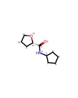 O=C(NC1CCCC1)[C@@H]1CCCO1